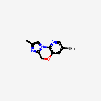 Cc1cn2c(n1)COc1cc(C(C)(C)C)cnc1-2